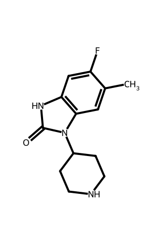 Cc1cc2c(cc1F)[nH]c(=O)n2C1CCNCC1